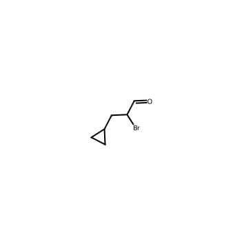 O=CC(Br)CC1CC1